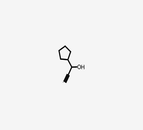 [C]#CC(O)C1CCCC1